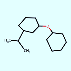 CC(C)C1CCCC(OC2CCCCC2)C1